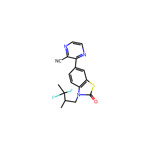 CC(Cn1c(=O)sc2cc(-c3nccnc3C#N)ccc21)C(C)(F)F